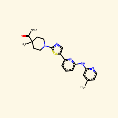 CNC(=O)C1(C)CCN(c2ncc(-c3cccc(Nc4cc(C)ccn4)n3)s2)CC1